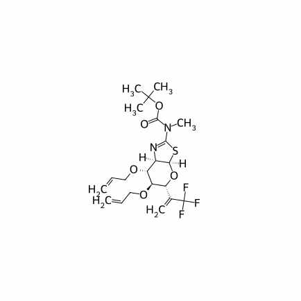 C=CCO[C@@H]1[C@H]2N=C(N(C)C(=O)OC(C)(C)C)S[C@H]2O[C@H](C(=C)C(F)(F)F)[C@H]1OCC=C